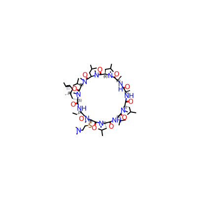 C/C=C/C[C@@H](C)C[C@H]1C(=O)N[C@@H](CC)C(=O)N(C)[C@H](SCCN(C)C)C(=O)N(C)[C@@H](CC(C)C)C(=O)N[C@@H](C(C)C)C(=O)N(C)[C@@H](CC(C)C)C(=O)N[C@H](C)C(=O)N[C@H](C)C(=O)N(C)[C@H](CC(C)C)C(=O)N(C)C(CC(C)C)C(=O)N(C)[C@H](C(C)C)C(=O)N1C